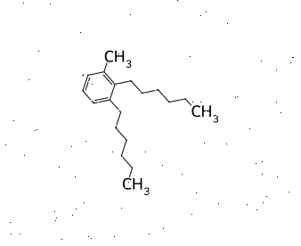 CCCCCCc1cc[c]c(C)c1CCCCCC